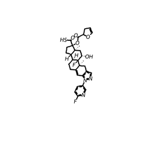 C[C@]12Cc3cnn(-c4ccc(F)nc4)c3C=C1CC[C@H]1[C@@H]3CC[C@](OC(=O)C4CC=CO4)(C(=O)S)[C@@]3(C)C[C@H](O)[C@@]12F